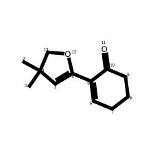 CC1(C)C=C(C2=CCCCC2=O)OC1